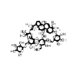 CC[C@H]1O[C@H](OC[C@H]2O[C@@H](O[C@H](CC[C@@H](C)C3CC[C@@]4(C)C5CC=C6C(CC[C@H](O[C@@H]7O[C@H](CO)[C@@H](O)[C@H](O)[C@H]7O)C6(C)C)[C@]5(C)[C@H](O)C[C@]34C)C(C)(C)O)[C@H](O[C@@H]3O[C@H](CO)[C@@H](O)[C@H](O)[C@H]3O)[C@@H](O)[C@@H]2O)[C@H](O)[C@@H](O)[C@@H]1O